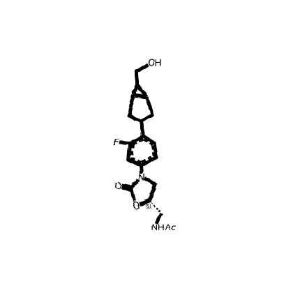 CC(=O)NC[C@H]1CN(c2ccc(C3CC4C(CO)C4C3)c(F)c2)C(=O)O1